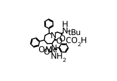 COc1ccccc1C1CC(c2ccccc2)N(CC(=O)NC(C)(C)C)C(=O)C(N(C(N)=O)c2cccc(C(=O)O)c2)C1